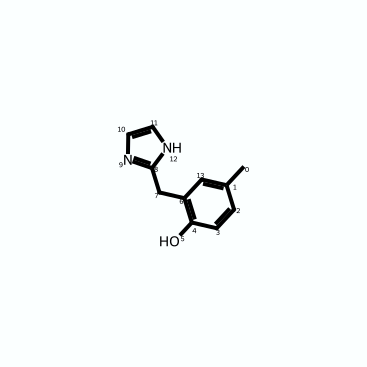 Cc1ccc(O)c(Cc2ncc[nH]2)c1